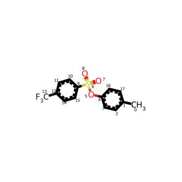 Cc1ccc(OS(=O)(=O)c2ccc(C(F)(F)F)cc2)cc1